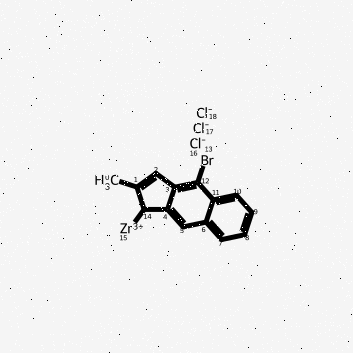 CC1=Cc2c(cc3ccccc3c2Br)[CH]1[Zr+3].[Cl-].[Cl-].[Cl-]